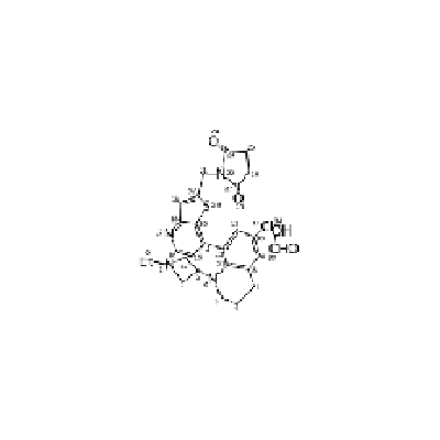 CCN1CC(N2CCCc3cc(Cl)cc(-c4ccnc5cc(CN6C(=O)CCC6=O)sc45)c32)C1.O=CO